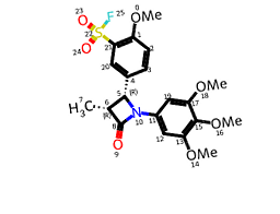 COc1ccc([C@H]2[C@@H](C)C(=O)N2c2cc(OC)c(OC)c(OC)c2)cc1S(=O)(=O)F